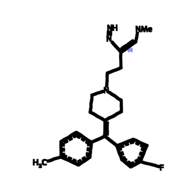 CN/C=C(/CCN1CCC(=C(c2ccc(C)cc2)c2ccc(F)cc2)CC1)N=N